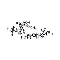 CCSSC[C@H](NC(=O)[C@H](CC(=O)O)NC(=O)[C@H](CCCNC(=N)N)NC(=O)CC[C@H](NC(=O)c1ccc(NCc2cnc3nc(N)[nH]c(=O)c3n2)cc1)C(=O)O)C(=O)O